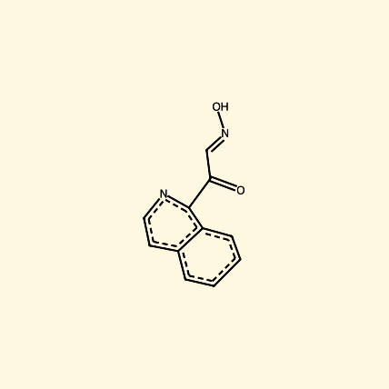 O=C(/C=N/O)c1nccc2ccccc12